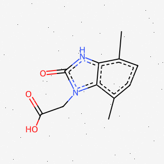 Cc1ccc(C)c2c1[nH]c(=O)n2CC(=O)O